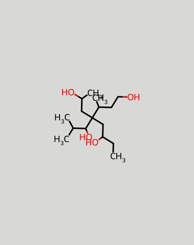 CCC(O)CC(CC(C)O)(C(C)CCO)C(O)C(C)C